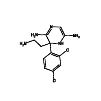 NCCC1(c2ccc(Cl)cc2Cl)NC(N)=CN=C1N